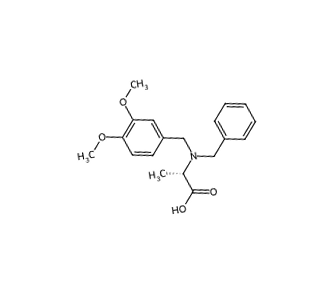 COc1ccc(CN(Cc2ccccc2)[C@@H](C)C(=O)O)cc1OC